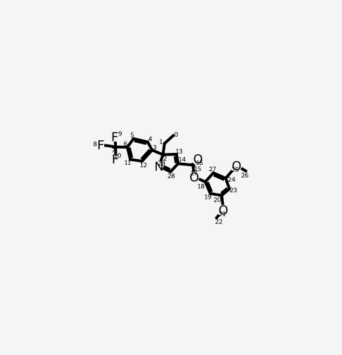 CCC1(c2ccc(C(F)(F)F)cc2)C=C(C(=O)Oc2cc(OC)cc(OC)c2)C=N1